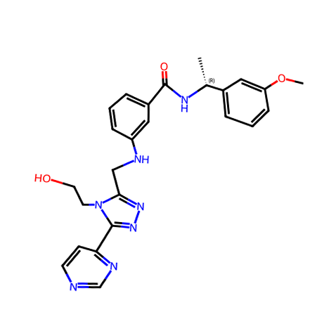 COc1cccc([C@@H](C)NC(=O)c2cccc(NCc3nnc(-c4ccncn4)n3CCO)c2)c1